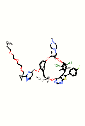 COCCOCCOCCOCC1(c2nccc(COc3ccc4cc3C[C@H](C(=O)O)Oc3ncnc5sc(-c6ccc(F)cc6)c(c35)-c3c(C)c(Cl)c(c(Cl)c3C)O[C@H](CN3CCN(C)CC3)CO4)n2)CC1